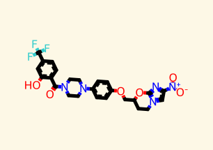 O=C(c1ccc(C(F)(F)F)cc1O)N1CCN(c2ccc(OCC3CCn4cc([N+](=O)[O-])nc4O3)cc2)CC1